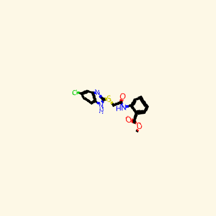 COC(=O)c1ccccc1NC(=O)CSc1nc2cc(Cl)ccc2[nH]1